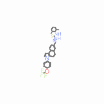 Cc1cccc(C)c1NC(=S)N/N=C/c1ccc2c(c1)CCc1c-2ccn1C1=CCC(OC(F)(F)F)C=C1